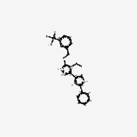 CCn1c(SCc2cccc(C(F)(F)F)c2)nnc1-c1csc(-c2ccccc2)n1